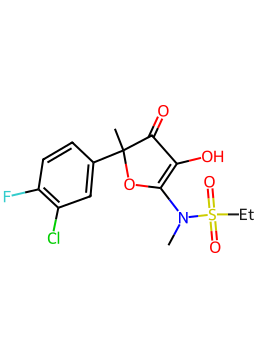 CCS(=O)(=O)N(C)C1=C(O)C(=O)C(C)(c2ccc(F)c(Cl)c2)O1